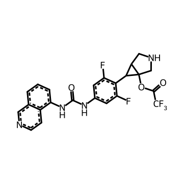 O=C(Nc1cc(F)c(C2C3CNCC32OC(=O)C(F)(F)F)c(F)c1)Nc1cccc2cnccc12